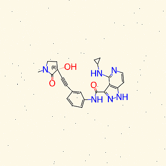 CN1CC[C@@](O)(C#Cc2cccc(NC(=O)c3n[nH]c4ccnc(NC5CC5)c34)c2)C1=O